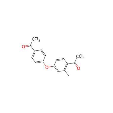 Cc1cc(Oc2ccc(C(=O)C(Cl)(Cl)Cl)cc2)ccc1C(=O)C(Cl)(Cl)Cl